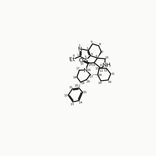 CCc1nc2c(s1)[C@]1(CCC2)CNCC1C(=O)N1CC[C@@H](c2ccccc2)C[C@H]1C1CCCCC1